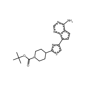 CC(C)(C)OC(=O)N1CCC(c2nc(-c3ccc4c(N)ncnn34)cs2)CC1